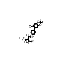 Cc1onc(C(C)C)c1C(=O)Nc1ccc(-c2cc3c(cc2Cl)OC(F)(F)O3)cn1